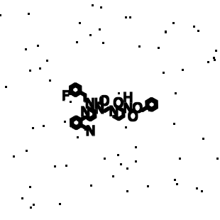 N#Cc1ccccc1-c1ccc(N(C=O)CCN2CCCC(NC(=O)OCc3ccccc3)C2=O)c(NCCc2cccc(F)c2)n1